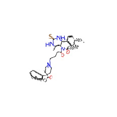 COC(=O)N(C(=O)CCCN1CCC(C(=O)OC)(c2ccccc2)CC1)C1=C(C)NC(=S)NC1c1ccc([N+](=O)[O-])cc1